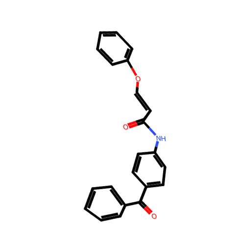 O=C(C=COc1ccccc1)Nc1ccc(C(=O)c2ccccc2)cc1